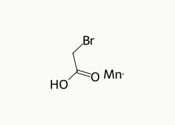 O=C(O)CBr.[Mn]